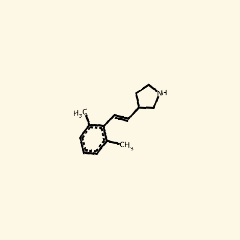 Cc1cccc(C)c1/C=C/C1CCNC1